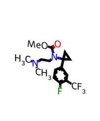 COC(=O)N(CCN(C)C)C1(c2ccc(F)c(C(F)(F)F)c2)CC1